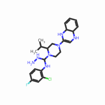 CC(C)C1CN(C2=CNC3C=CC=CC3N2)CCN1C(NN)Nc1ccc(F)cc1Cl